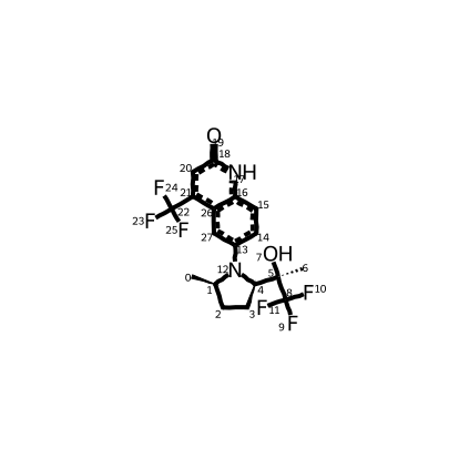 C[C@@H]1CC[C@H]([C@@](C)(O)C(F)(F)F)N1c1ccc2[nH]c(=O)cc(C(F)(F)F)c2c1